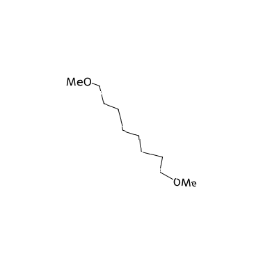 COCCCCCCCCOC